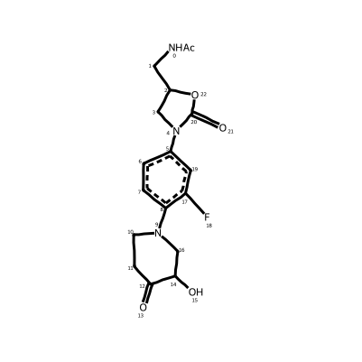 CC(=O)NCC1CN(c2ccc(N3CCC(=O)C(O)C3)c(F)c2)C(=O)O1